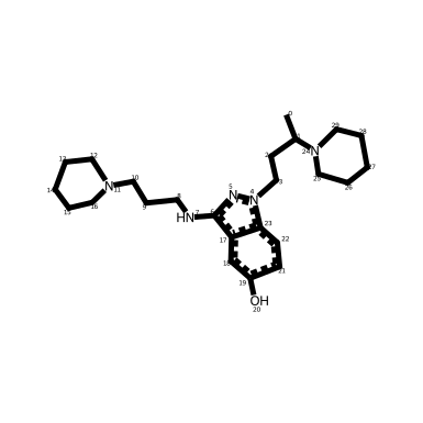 CC(CCn1nc(NCCCN2CCCCC2)c2cc(O)ccc21)N1CCCCC1